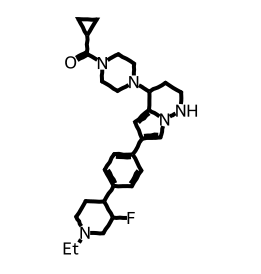 CCN1CCC(c2ccc(-c3cc4n(c3)NCCC4N3CCN(C(=O)C4CC4)CC3)cc2)C(F)C1